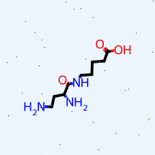 NCCC(N)C(=O)NCCCCC(=O)O